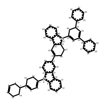 C1=CCC(C2=CC=C(n3c4ccccc4c4cc(C5=Cc6c(n(C7=CC(c8ccccc8)=CC(c8ccccc8)C7)c7ccccc67)CC5)ccc43)CC2)CC1